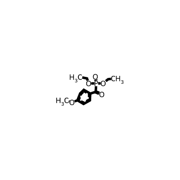 CCOP(=O)(OCC)C(=O)c1ccc(OC)cc1